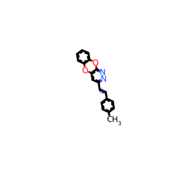 Cc1ccc(/C=C/c2cc3c(nn2)Oc2ccccc2O3)cc1